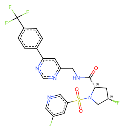 O=C(NCc1cc(-c2ccc(C(F)(F)F)cc2)ncn1)[C@@H]1C[C@@H](F)CN1S(=O)(=O)c1cncc(F)c1